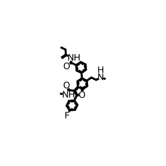 C=C(CC)NC(=O)c1cccc(-c2cc3c(C(=O)NC)c(-c4ccc(F)cc4)oc3cc2CCNC)c1